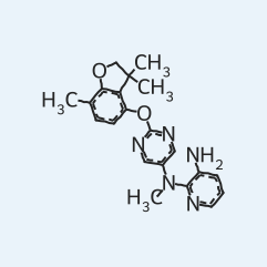 Cc1ccc(Oc2ncc(N(C)c3ncccc3N)cn2)c2c1OCC2(C)C